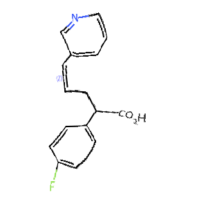 O=C(O)C(C/C=C\c1cccnc1)c1ccc(F)cc1